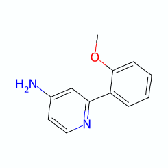 COc1ccccc1-c1cc(N)ccn1